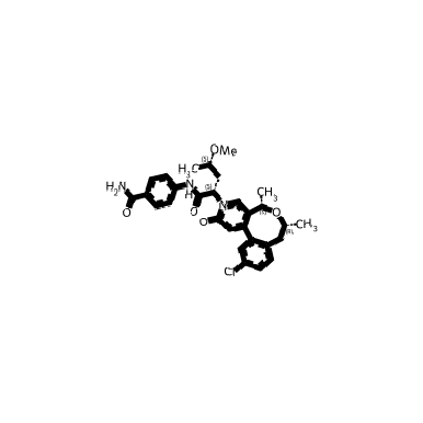 CO[C@@H](C)C[C@@H](C(=O)Nc1ccc(C(N)=O)cc1)n1cc2c(cc1=O)-c1cc(Cl)ccc1C[C@@H](C)O[C@H]2C